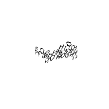 CC(C)(C)C1c2ccccc2C[C@@H](C(=O)N[C@H]2CC[C@@H]3CN(S(=O)(=O)c4cccc(C(F)(F)F)c4)C[C@@H]32)N1C(=O)O